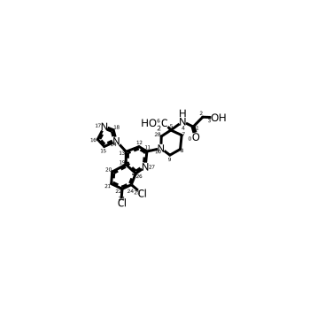 O=C(CO)NC1(C(=O)O)CCCN(c2cc(-n3ccnc3)c3ccc(Cl)c(Cl)c3n2)C1